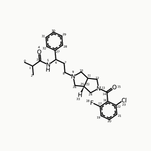 CC(C)C(=O)NC(CCN1CC2CN(C(=O)c3c(F)cccc3Cl)C[C@@H]2C1)c1ccccc1